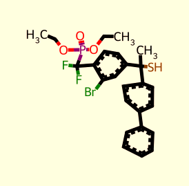 CCOP(=O)(OCC)C(F)(F)c1ccc(C(C)(S)c2ccc(-c3ccccc3)cc2)cc1Br